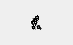 Cc1ccc(S(=O)(=O)n2ccc3c(-c4cccnc4Sc4ccc(F)cc4)cn(C)c(=O)c32)cc1